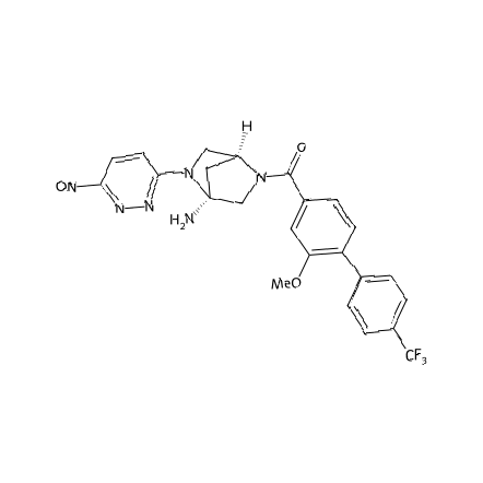 COc1cc(C(=O)N2C[C@]3(N)C[C@H]2CN3c2ccc(N=O)nn2)ccc1-c1ccc(C(F)(F)F)cc1